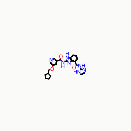 O=C(Nc1nc2c(C(=O)Nc3ncc[nH]3)cccc2[nH]1)c1cncc(OCC2CCCC2)c1